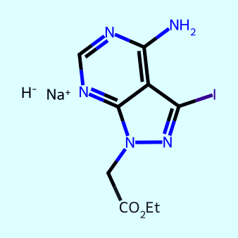 CCOC(=O)Cn1nc(I)c2c(N)ncnc21.[H-].[Na+]